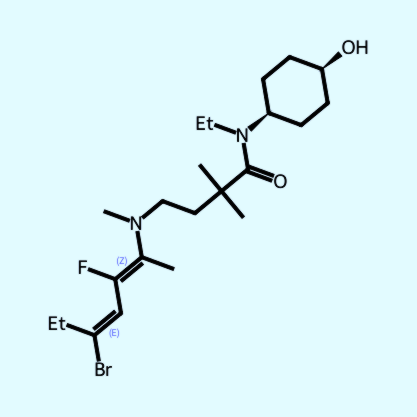 CC/C(Br)=C\C(F)=C(/C)N(C)CCC(C)(C)C(=O)N(CC)[C@H]1CC[C@@H](O)CC1